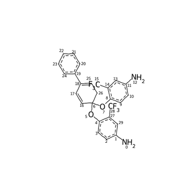 Nc1ccc(OC2(Oc3ccc(N)cc3C(F)(F)F)C=CC(c3ccccc3)=CC2)c(C(F)(F)F)c1